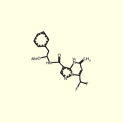 C=C1C=C(C(F)F)n2ncc(C(=O)NC(Cc3ccccc3)OC)c2N1